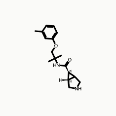 Cc1cccc(OCC(C)(C)NC(=O)[C@H]2C3CNC[C@@H]32)c1